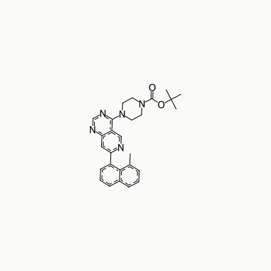 Cc1cccc2cccc(-c3cc4ncnc(N5CCN(C(=O)OC(C)(C)C)CC5)c4cn3)c12